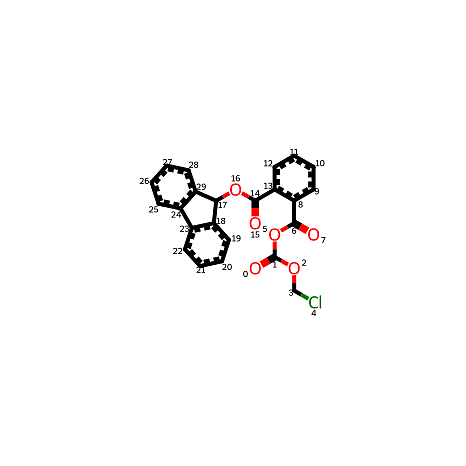 O=C(OCCl)OC(=O)c1ccccc1C(=O)OC1c2ccccc2-c2ccccc21